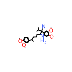 COc1ccc(C(C)CCCC(N)C(C#N)(c2ccc(OC)c(OC)c2)C(C)C)cc1OC